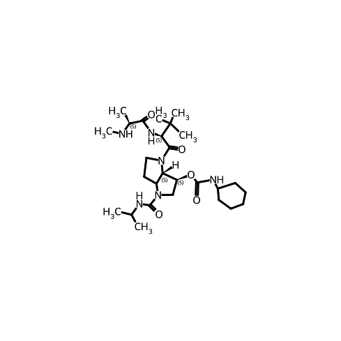 CN[C@@H](C)C(=O)N[C@H](C(=O)N1CCC2[C@H]1[C@@H](OC(=O)NC1CCCCC1)CN2C(=O)NC(C)C)C(C)(C)C